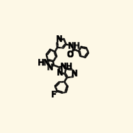 O=C(Nc1cncc(-c2ccc3[nH]nc(-c4nc5c(C6C=CC=C(F)C=C6)cncc5[nH]4)c3c2)c1)c1ccccc1